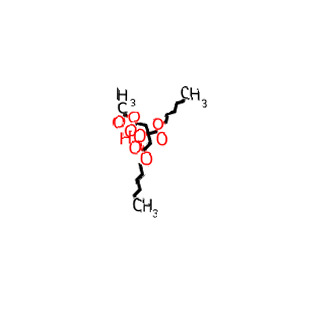 CCCCCCOC(=O)CC(O)(CC(=O)OC(C)=O)C(=O)OCCCCCC